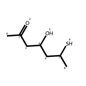 CC(=O)CC(O)CC(C)S